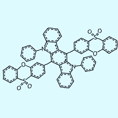 O=S1(=O)c2ccccc2Oc2cc(-c3c4c5ccccc5n(-c5ccccc5)c4c(-c4ccc5c(c4)Oc4ccccc4S5(=O)=O)c4c5ccccc5n(-c5ccccc5)c34)ccc21